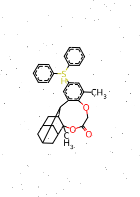 Cc1cc([SH](c2ccccc2)c2ccccc2)cc2c1OCC(=O)OC1(C)C3CC4CC(C3)C2C1C4